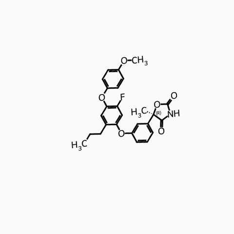 CCCc1cc(Oc2ccc(OC)cc2)c(F)cc1Oc1cccc([C@@]2(C)OC(=O)NC2=O)c1